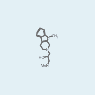 CNCC(O)CN1CCc2c(n(C)c3ccccc23)C1